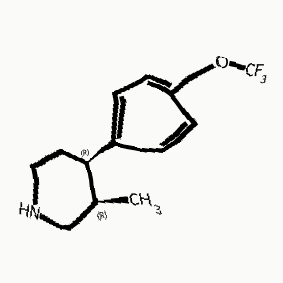 C[C@H]1CNCC[C@H]1c1ccc(OC(F)(F)F)cc1